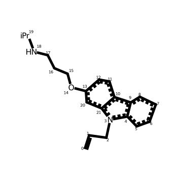 C=CCn1c2ccccc2c2ccc(OCCCNC(C)C)cc21